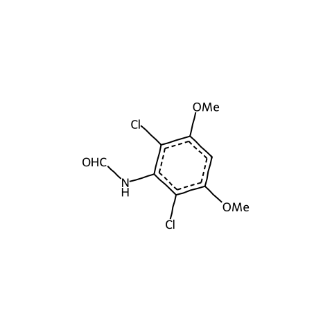 COc1cc(OC)c(Cl)c(NC=O)c1Cl